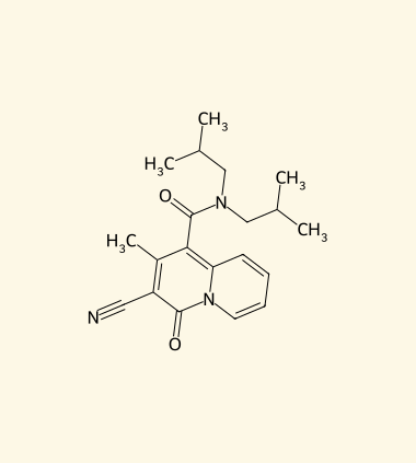 Cc1c(C#N)c(=O)n2ccccc2c1C(=O)N(CC(C)C)CC(C)C